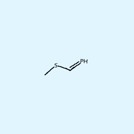 CSC=P